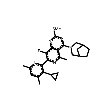 CSc1nc(N2CC3CCC(C3)C2)c2c(C)nc(-c3nc(C)cc(C)c3C3CC3)c(F)c2n1